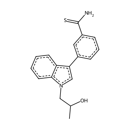 CC(O)Cn1cc(-c2cccc(C(N)=S)c2)c2ccccc21